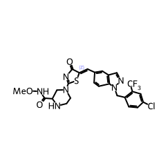 CONC(=O)C1CN(C2=NC(=O)/C(=C/c3ccc4c(cnn4Cc4ccc(Cl)cc4C(F)(F)F)c3)S2)CCN1